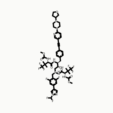 COC(=O)N[C@H](C(=O)N[C@@H](Cc1ccc(C#Cc2ccc(N3CCN(C4CCOC4)CC3)nc2)cc1)[C@@H](O)CN(Cc1c(F)cc(-c2cnn(C(F)F)c2)cc1F)NC(=O)[C@@H](NC(=O)OC)C(C)(C)C(F)(F)F)C(C)(C)C(F)(F)F